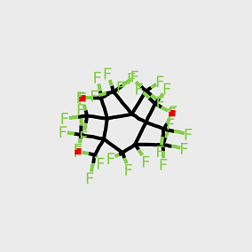 FC(F)(F)C1(F)C(F)(F)C(C(F)(F)F)(C(F)(F)F)C(C(F)(F)F)(C(F)(F)F)C(C(F)(F)F)(C(F)(F)F)C1(C(F)(F)F)C(F)(F)F